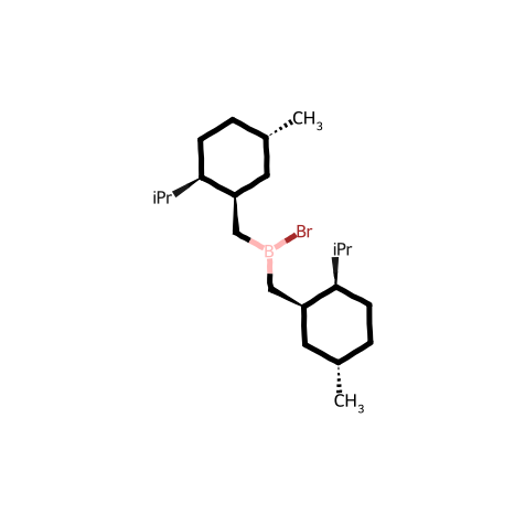 CC(C)[C@H]1CC[C@H](C)C[C@H]1CB(Br)C[C@@H]1C[C@@H](C)CC[C@@H]1C(C)C